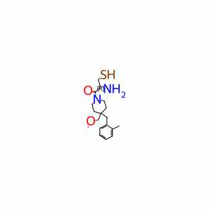 COCC1(Cc2ccccc2C)CCN(C(=O)[C@@H](N)CS)CC1